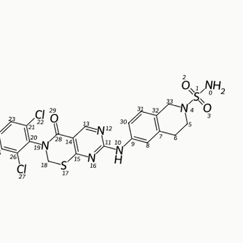 NS(=O)(=O)N1CCc2cc(Nc3ncc4c(n3)SCN(c3c(Cl)cccc3Cl)C4=O)ccc2C1